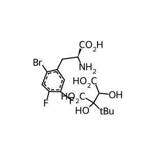 CC(C)(C)C(O)(C(=O)O)C(O)C(=O)O.N[C@@H](Cc1cc(F)c(F)cc1Br)C(=O)O